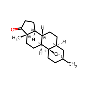 CC1CC[C@@]2(C)[C@@H](CC[C@@H]3[C@@H]2CC[C@]2(C)C(=O)CC[C@@H]32)C1